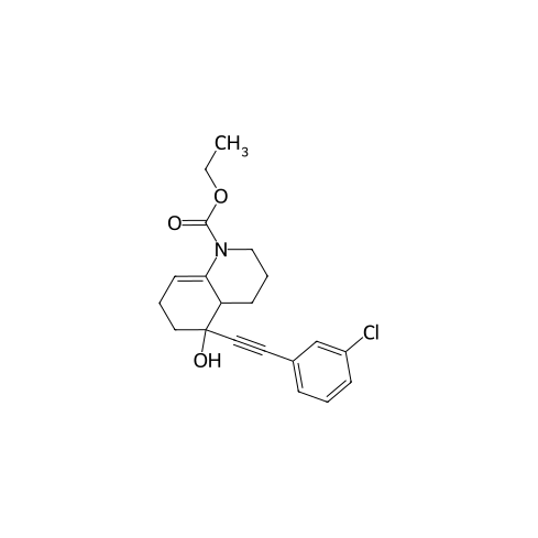 CCOC(=O)N1CCCC2C1=CCCC2(O)C#Cc1cccc(Cl)c1